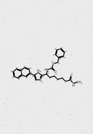 CNC(=O)CCCCCC(NC(=O)OCc1ccccc1)c1ncc(-c2ccc3ccccc3c2)[nH]1